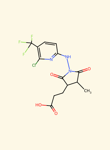 CC1C(=O)N(Nc2ccc(C(F)(F)F)c(Cl)n2)C(=O)C1CCC(=O)O